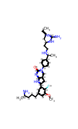 C/C=C/C[C@H](CCN[C@@H](C)c1ccc(-n2cc3cc(-c4cc(CCC[C@H](C)N)cc(OC(F)(F)F)c4F)[nH]c3nc2=O)cc1)NC(=N)N